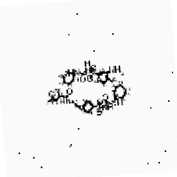 Cc1cc(C(=O)NCCc2ccc(S(=O)(=O)NC(=O)NN3CCCCCC3)cc2)no1.Cc1ccc(S(=O)(=O)NC(=O)NC2CCCCC2)cc1N